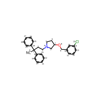 N#CC(CCN1CCC(OCc2cccc(Cl)c2)C1)(c1ccccc1)c1ccccc1